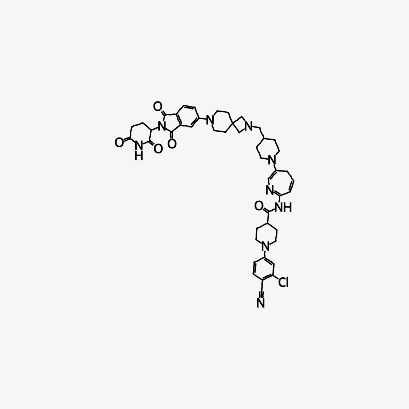 N#Cc1ccc(N2CCC(C(=O)NC3=NC=C(N4CCC(CN5CC6(CCN(c7ccc8c(c7)C(=O)N(C7CCC(=O)NC7=O)C8=O)CC6)C5)CC4)CC=C3)CC2)cc1Cl